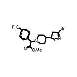 COC(=O)C(c1ccc(C(F)(F)F)cc1)N1CCC(C2CC(Br)=NO2)CC1